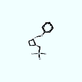 CC[N+](CC)(CC)C[C@H]1CC[C@@H]1COc1ccccc1